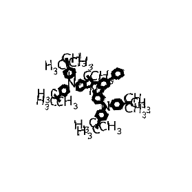 CC(C)(C)c1ccc(N(c2ccc(C(C)(C)C)cc2)c2ccc3c(c2)C(C)(C)c2c-3n3c4ccc(N(c5ccc(C(C)(C)C)cc5)c5ccc(C(C)(C)C)cc5)cc4c4cc(-c5ccccc5)cc2c43)cc1